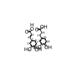 O=C(O)C=Cc1ccc(O)c(O)c1.O=C(O)CCc1ccc(O)c(O)c1